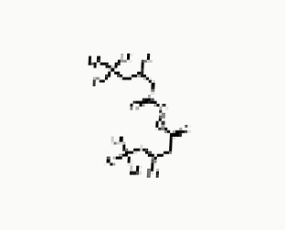 CCC(CC(=O)OOC(=O)CC(CC)CC(C)(CC)CC)CC(C)(CC)CC